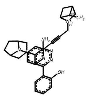 C[C@@H]1C2CC1N(CC#Cc1cc(N3C4CCC3CN(c3cc(-c5ccccc5O)nnc3N)C4)ccn1)C2